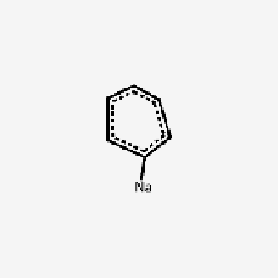 [Na][c]1ccccc1